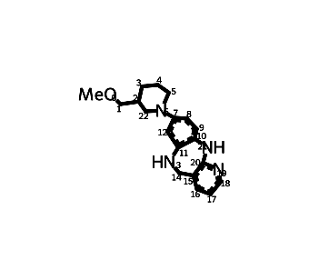 COCC1CCCN(c2ccc3c(c2)NCc2cccnc2N3)C1